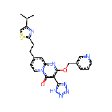 CC(C)c1csc(CCc2ccn3c(=O)c(-c4nnn[nH]4)c(OCc4cccnc4)nc3c2)n1